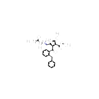 COC(=O)c1c(C)[nH]c(/C=N/NC(N)=O)c1C(=O)c1ccccc1Cc1ccccc1